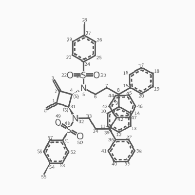 C=C1C(=C)[C@H](N(CCC(c2ccccc2)c2ccccc2)S(=O)(=O)c2ccc(C)cc2)[C@H]1N(CCC(c1ccccc1)c1ccccc1)S(=O)(=O)c1ccc(C)cc1